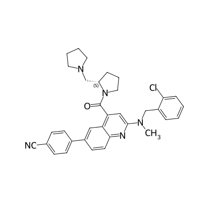 CN(Cc1ccccc1Cl)c1cc(C(=O)N2CCC[C@H]2CN2CCCC2)c2cc(-c3ccc(C#N)cc3)ccc2n1